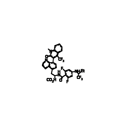 CCC(Nc1cc(F)c(C(=O)NC(Cc2ccc(-c3c(C(F)(F)F)c4ccccc4n(C)c3=O)c3ncccc23)C(=O)O)c(F)c1)C(F)(F)F